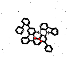 c1ccc(-c2cc3c4c(c2)-n2c5ccccc5c5cccc(c52)B4c2cc(-c4ccccc4-c4ccccc4)cc(-c4ccccc4-c4ccccc4)c2O3)cc1